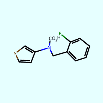 O=C(O)N(Cc1ccccc1F)c1ccsc1